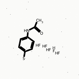 CC(=O)Nc1ccc([S])cc1.F.F.F.F.F